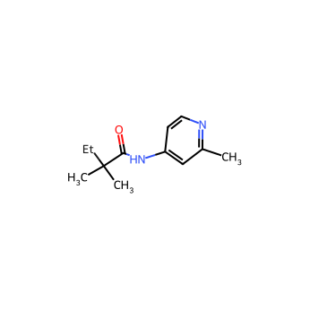 CCC(C)(C)C(=O)Nc1ccnc(C)c1